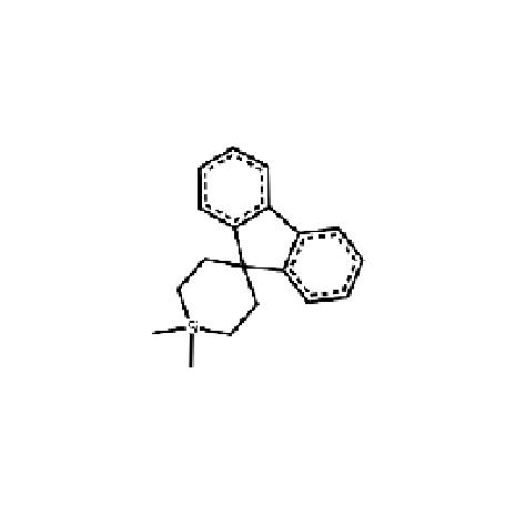 C[Si]1(C)CCC2(CC1)c1ccccc1-c1ccccc12